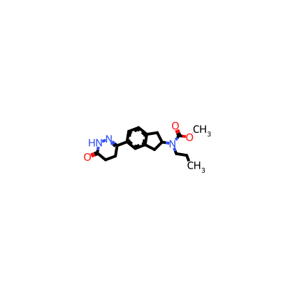 CCCN(C(=O)OC)C1Cc2ccc(C3=NNC(=O)CC3)cc2C1